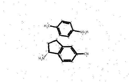 Cc1ccc(S(=O)(=O)O)cc1.N#Cc1ccc2c(c1)CC[C@H]2N